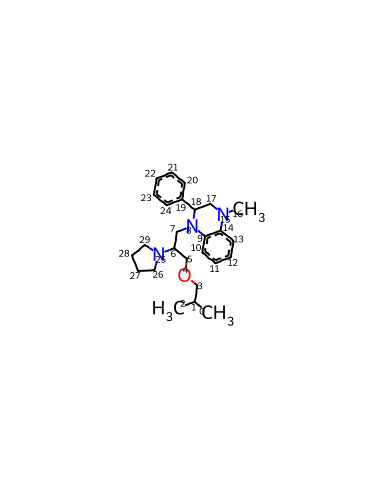 CC(C)COCC(CN1c2ccccc2N(C)CC1c1ccccc1)N1CCCC1